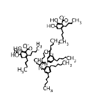 CCCCCc1cc(CCCCC)cc(N=C(CC)C(CCCC)=Nc2cc(CCCCC)cc(CCCCC)c2)c1.CCCCc1cc(O)c(O)c(C(=O)[O-])c1CCCC.CCCCc1cc(O)c(O)c(C(=O)[O-])c1CCCC.[Ni+2]